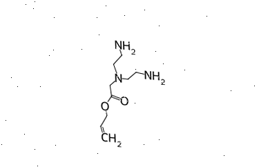 C=CCOC(=O)CN(CCN)CCN